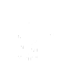 Cc1ccc(Cc2sc3ccccc3c2CN2CCN3C(=O)C(C)(C)NC(=O)C3C2)cc1